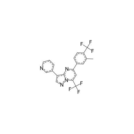 Cc1cc(-c2cc(C(F)(F)F)n3ncc(-c4cccnc4)c3n2)ccc1C(F)(F)F